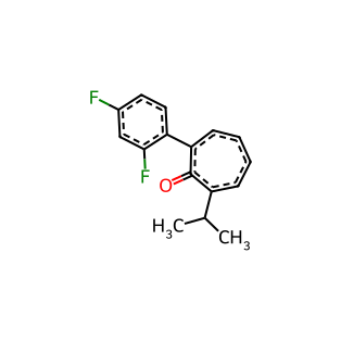 CC(C)c1ccccc(-c2ccc(F)cc2F)c1=O